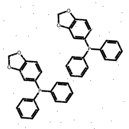 c1ccc(P(c2ccccc2)c2ccc3c(c2)OCO3)cc1.c1ccc(P(c2ccccc2)c2ccc3c(c2)OCO3)cc1